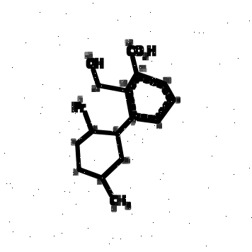 CC1CCC(C(C)C)C(c2cccc(C(=O)O)c2CO)C1